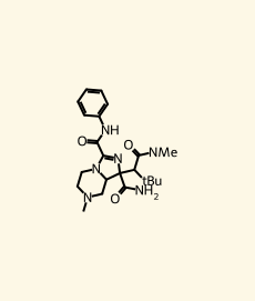 CNC(=O)C(C(C)(C)C)C1(C(N)=O)N=C(C(=O)Nc2ccccc2)N2CCN(C)CC21